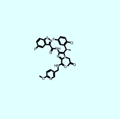 COc1ccc(CNC(=O)c2nc(NC(=O)c3nsc4ccc(F)cc34)c([C@H](C)c3cc(F)ccc3Cl)n2CC(C)=O)cn1